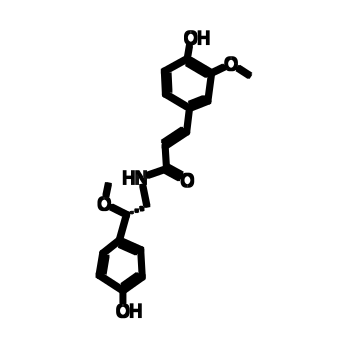 COc1cc(/C=C/C(=O)NC[C@@H](OC)c2ccc(O)cc2)ccc1O